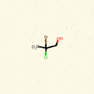 O=[N+]([O-])C(Cl)(Br)CO